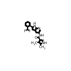 Cc1[nH]nc(C(=O)Nc2cnc3[nH]c(-c4ccccc4C(F)F)cc3c2)c1C